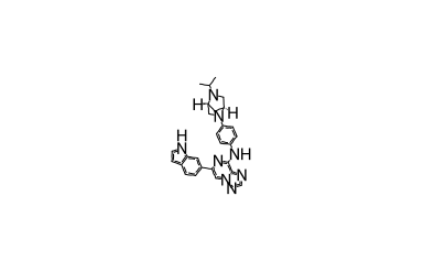 CC(C)N1C[C@@H]2C[C@@H]1CN2c1ccc(Nc2nc(-c3ccc4cc[nH]c4c3)cn3ncnc23)cc1